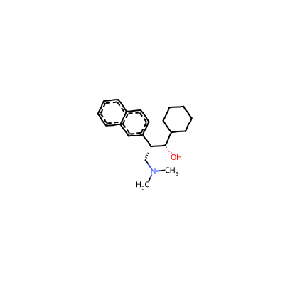 CN(C)C[C@H](c1ccc2ccccc2c1)[C@@H](O)C1CCCCC1